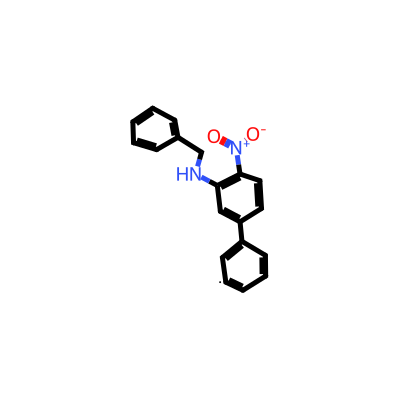 O=[N+]([O-])c1ccc(-c2c[c]ccc2)cc1NCc1ccccc1